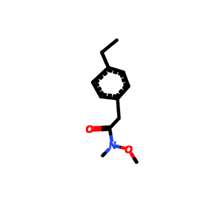 CCc1ccc(CC(=O)N(C)OC)cc1